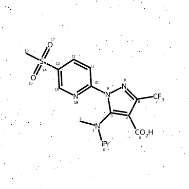 CC(C)N(C)c1c(C(=O)O)c(C(F)(F)F)nn1-c1ccc(S(C)(=O)=O)cn1